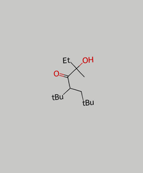 CCC(C)(O)C(=O)C(CC(C)(C)C)C(C)(C)C